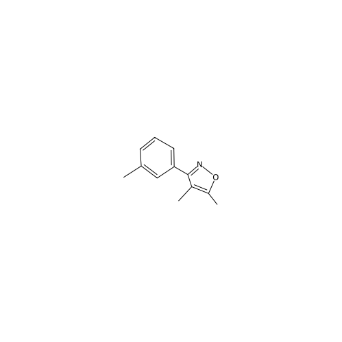 Cc1cccc(-c2noc(C)c2C)c1